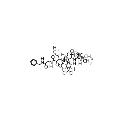 CCCC(NC(=O)[C@@H]1[C@@H]2[C@H](CN1C(=O)[C@@H](NC(=O)NC(C)(C)C)C(C)(C)C)C2(Cl)Cl)C(=O)C(=O)NCC(=O)NCc1ccccc1